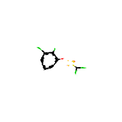 O=S(=O)(Oc1cccc(Cl)c1Cl)C(Cl)Cl